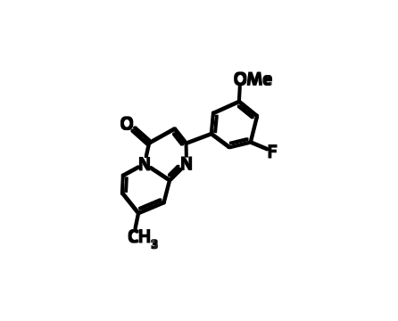 COc1cc(F)cc(-c2cc(=O)n3ccc(C)cc3n2)c1